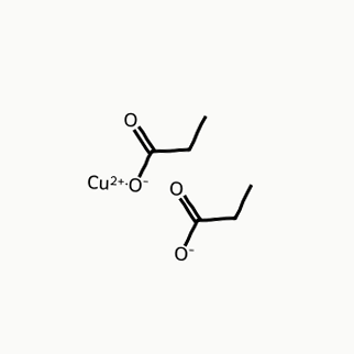 CCC(=O)[O-].CCC(=O)[O-].[Cu+2]